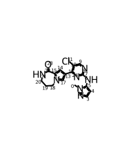 Cn1nccc1Nc1ncc(Cl)c(-c2cc3n(c2)CCCNC3=O)n1